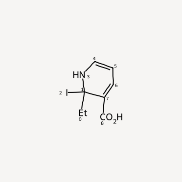 CCC1(I)NC=CC=C1C(=O)O